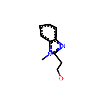 Cn1c(CC[O])nc2ccccc21